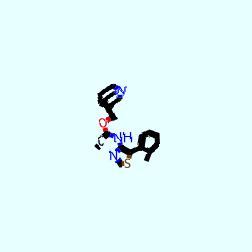 C=C=C(Nc1ncsc1-c1ccccc1C)OCC1CN2CCC1CC2